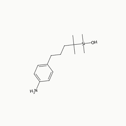 CC(C)(CCCc1ccc(N)cc1)[Si](C)(C)O